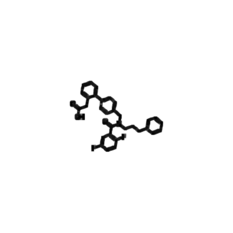 O=C(O)Cc1ccccc1-c1ccc(CN(CCCc2ccccc2)C(=O)c2cc(F)ccc2F)cc1